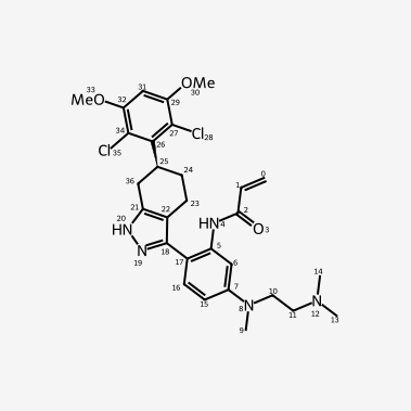 C=CC(=O)Nc1cc(N(C)CCN(C)C)ccc1-c1n[nH]c2c1CC[C@H](c1c(Cl)c(OC)cc(OC)c1Cl)C2